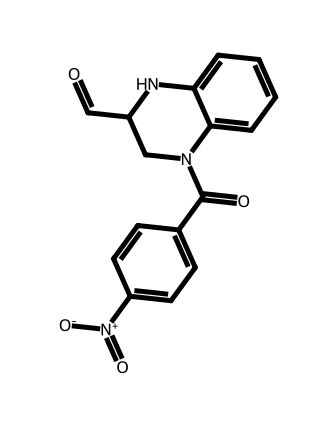 O=CC1CN(C(=O)c2ccc([N+](=O)[O-])cc2)c2ccccc2N1